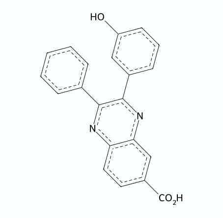 O=C(O)c1ccc2nc(-c3ccccc3)c(-c3cccc(O)c3)nc2c1